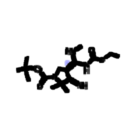 CCOC(=O)N/C(NC)=C1/CN(C(=O)OC(C)(C)C)C(C)(C)C1=N